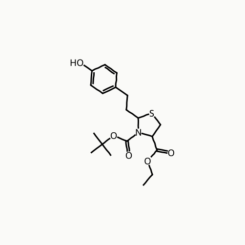 CCOC(=O)C1CSC(CCc2ccc(O)cc2)N1C(=O)OC(C)(C)C